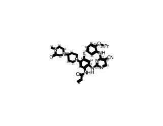 C=CC(=O)Nc1cc(N2CCC(N3CCN(C)C(=O)C3)CC2)c(F)cc1Nc1ncc(C#N)c(Nc2ccccc2OC(C)C)n1